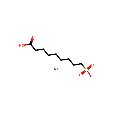 O=C(O)CCCCCCCCS(=O)(=O)[O-].[Na+]